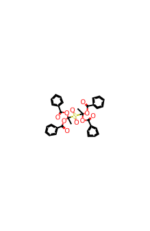 CC(OC(=O)c1ccccc1)(OC(=O)c1ccccc1)S(=O)(=O)C(C)(OC(=O)c1ccccc1)OC(=O)c1ccccc1